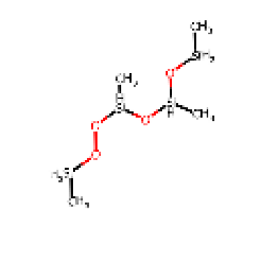 C[SiH2]OO[SiH](C)O[SiH](C)O[SiH2]C